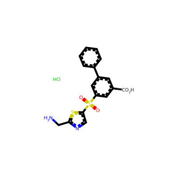 Cl.NCc1ncc(S(=O)(=O)c2cc(C(=O)O)cc(-c3ccccc3)c2)s1